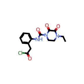 CCN1CCN(C(=O)Nc2ccccc2CC(=O)Cl)C(=O)C1=O